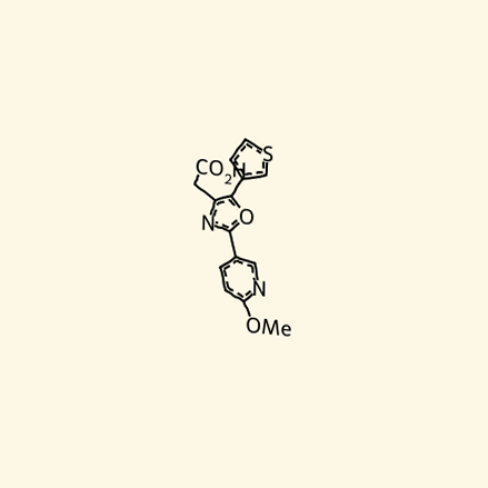 COc1ccc(-c2nc(CC(=O)O)c(-c3ccsc3)o2)cn1